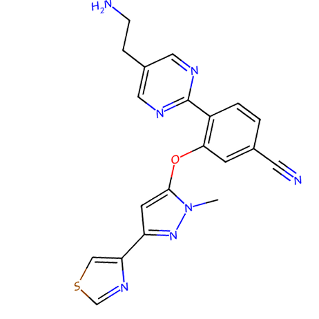 Cn1nc(-c2cscn2)cc1Oc1cc(C#N)ccc1-c1ncc(CCN)cn1